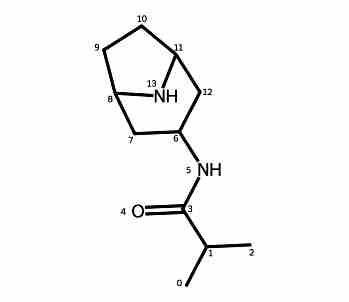 CC(C)C(=O)NC1CC2CCC(C1)N2